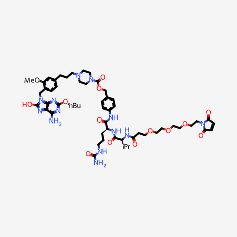 CCCCOc1nc(N)c2nc(O)n(Cc3ccc(CCCN4CCN(C(=O)OCc5ccc(NC(=O)[C@H](CCCNC(N)=O)NC(=O)[C@@H](NC(=O)CCOCCOCCOCCN6C(=O)C=CC6=O)C(C)C)cc5)CC4)cc3OC)c2n1